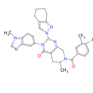 CC1Cc2c(nc(-n3cc4c(n3)CCCC4)n(-c3ccc4c(c3)ncn4C)c2=O)CN1C(=O)c1ccc(Br)c(C(F)(F)F)c1